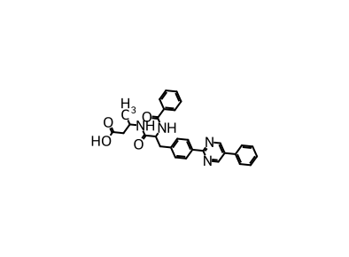 CC(CC(=O)O)NC(=O)C(Cc1ccc(-c2ncc(-c3ccccc3)cn2)cc1)NC(=O)c1ccccc1